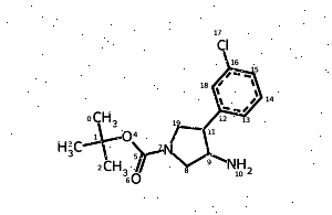 CC(C)(C)OC(=O)N1CC(N)C(c2cccc(Cl)c2)C1